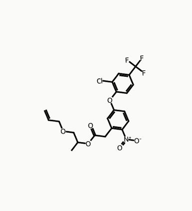 C=CCOCC(C)OC(=O)Cc1cc(Oc2ccc(C(F)(F)F)cc2Cl)ccc1[N+](=O)[O-]